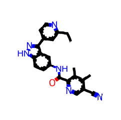 CCc1cc(-c2n[nH]c3ccc(NC(=O)c4ncc(C#N)c(C)c4C)cc23)ccn1